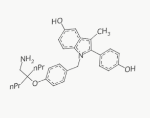 CCCC(CN)(CCC)Oc1ccc(Cn2c(-c3ccc(O)cc3)c(C)c3cc(O)ccc32)cc1